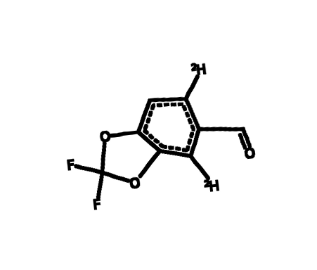 [2H]c1cc2c(c([2H])c1C=O)OC(F)(F)O2